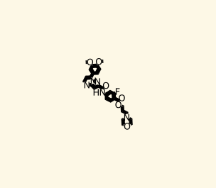 COc1ccc(-c2ccnc3cc(C(=O)Nc4ccc(C(=O)OCCCN5CCOCC5)c(F)c4)nn23)cc1OC